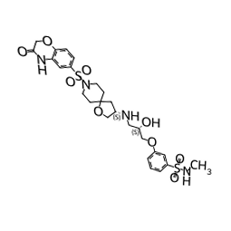 CNS(=O)(=O)c1cccc(OC[C@@H](O)CN[C@@H]2COC3(CCN(S(=O)(=O)c4ccc5c(c4)NC(=O)CO5)CC3)C2)c1